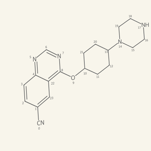 N#Cc1ccc2ncnc(OC3CCC(N4CCNCC4)CC3)c2c1